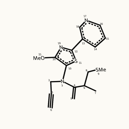 C#CCN(C(=C)C(C)CSC)c1sc(-c2cccnc2)nc1OC